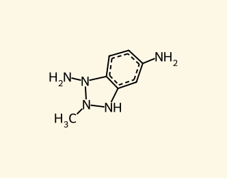 CN1Nc2cc(N)ccc2N1N